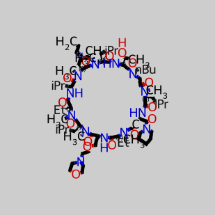 C=C/C=C(\C=C)C[C@H]1C(=O)N(C)[C@@H](CC(C)C)C(=O)N[C@@H](C(C)O)C(=O)N(CCCC)CC(=O)N(C)[C@@H](CC(C)C)C(=O)NC(C(=O)N2CCCCC2)CC(=O)N(C)[C@@H](CC)C(=O)NC(COCCN2CCOCC2)C(=O)N(C)[C@@H](CC(C)C)C(=O)N(C)[C@@H](CC)C(=O)NC(C(C)C)C(=O)N1C